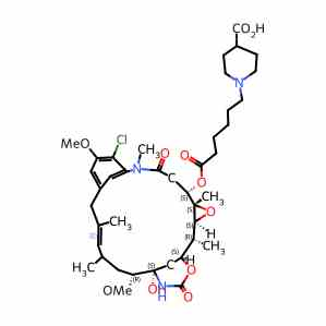 COc1cc2cc(c1Cl)N(C)C(=O)C[C@H](OC(=O)CCCCCN1CCC(C(=O)O)CC1)[C@]1(C)O[C@H]1[C@H](C)[C@@H]1C[C@@](O)(NC(=O)O1)[C@H](OC)CC(C)/C=C(\C)C2